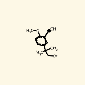 C#Cc1cc(C(C)(C)CBr)ccc1OC